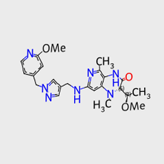 COc1cc(Cn2cc(CNc3cc4c(c(C)n3)NC(=O)[C@H]([C@@H](C)OC)N4C)cn2)ccn1